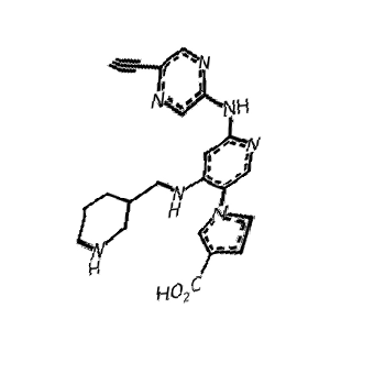 C#Cc1cnc(Nc2cc(NCC3CCCNC3)c(-n3ccc(C(=O)O)c3)cn2)cn1